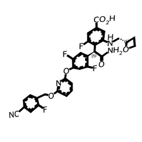 N#Cc1ccc(COc2cccc(Oc3cc(F)c([C@H](C(N)=O)c4c(F)cc(C(=O)O)cc4NC[C@@H]4CCO4)cc3F)n2)c(F)c1